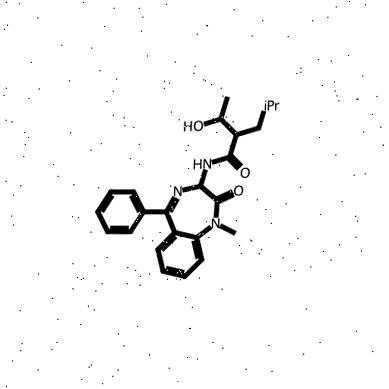 CC(C)CC(C(=O)NC1N=C(c2ccccc2)c2ccccc2N(C)C1=O)C(C)O